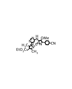 CCOC(=O)Cc1c(C)nn(-c2cc(Nc3c(OC)c(-c4ccc(C#N)cc4)nn3C)ncn2)c1C